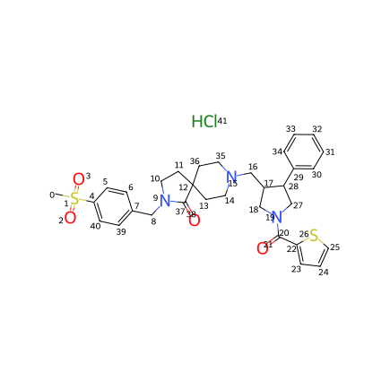 CS(=O)(=O)c1ccc(CN2CCC3(CCN(CC4CN(C(=O)c5cccs5)CC4c4ccccc4)CC3)C2=O)cc1.Cl